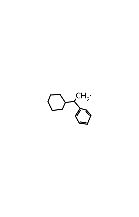 [CH2]C(c1ccccc1)C1CCCCC1